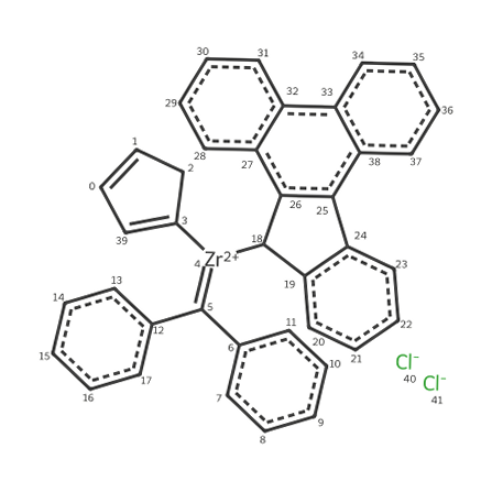 C1=CC[C]([Zr+2](=[C](c2ccccc2)c2ccccc2)[CH]2c3ccccc3-c3c2c2ccccc2c2ccccc32)=C1.[Cl-].[Cl-]